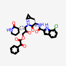 O=C(OCC(=O)[C@H](C[C@@H]1CCCNC1=O)NC(=O)[C@H](CC1CC1)NC(=O)c1cc2cccc(Cl)c2[nH]1)C(=O)c1ccccc1